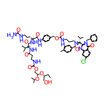 CCC(CO)OC(COC(=O)NCCC(=O)N[C@@H](C(=O)N[C@H](CCCNC(N)=O)C(=O)Nc1ccc(COC(=O)NCCCN(C(=O)c2ccc(C)cc2)[C@@H](c2nc3cc(Cl)ccc3c(=O)n2Cc2ccccc2)C(C)C)cc1)C(C)C)OC(C)C